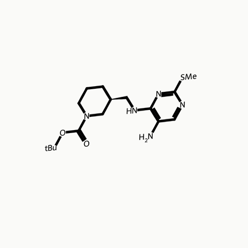 CSc1ncc(N)c(NC[C@@H]2CCCN(C(=O)OC(C)(C)C)C2)n1